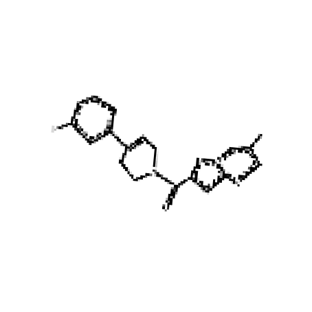 O=C(c1cc2ncc(I)cn2n1)N1CC=C(c2cccc(F)c2)CC1